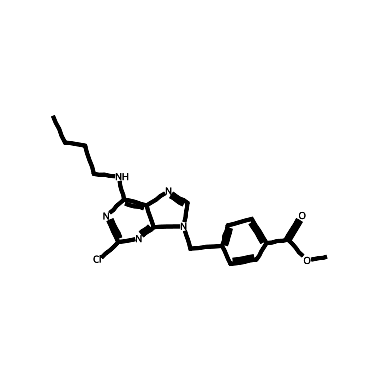 CCCCNc1nc(Cl)nc2c1ncn2Cc1ccc(C(=O)OC)cc1